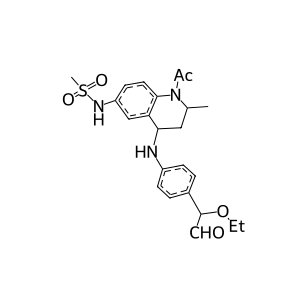 CCOC(C=O)c1ccc(NC2CC(C)N(C(C)=O)c3ccc(NS(C)(=O)=O)cc32)cc1